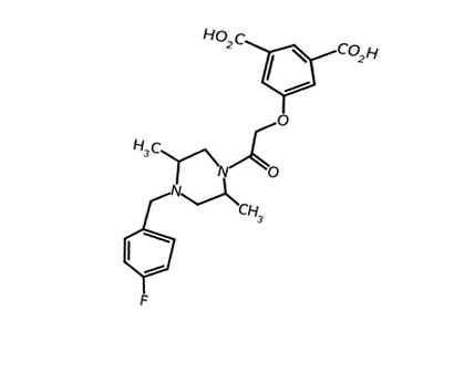 CC1CN(C(=O)COc2cc(C(=O)O)cc(C(=O)O)c2)C(C)CN1Cc1ccc(F)cc1